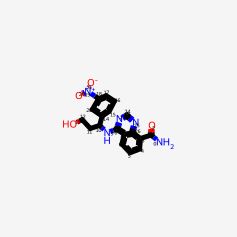 NC(=O)c1cccc2c(NC(CCO)c3cccc([N+](=O)[O-])c3)ncnc12